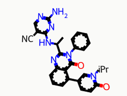 CC(Nc1nc(N)ncc1C#N)c1nc2cccc(-c3ccc(=O)n(C(C)C)c3)c2c(=O)n1-c1ccccc1